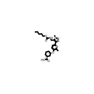 CCCCCOC(=O)NCc1c(-c2ccc(O[C@H]3CCC[C@H](C(=O)O)C3)c(C)n2)nnn1C